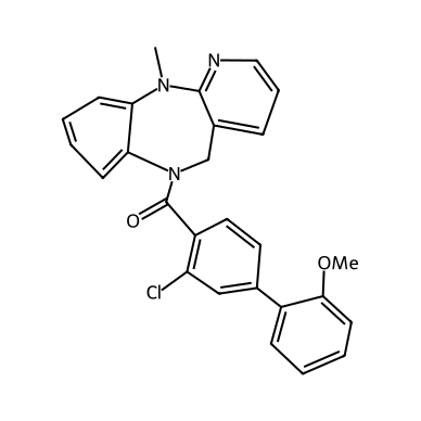 COc1ccccc1-c1ccc(C(=O)N2Cc3cccnc3N(C)c3ccccc32)c(Cl)c1